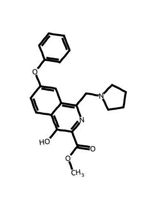 COC(=O)c1nc(CN2CCCC2)c2cc(Oc3ccccc3)ccc2c1O